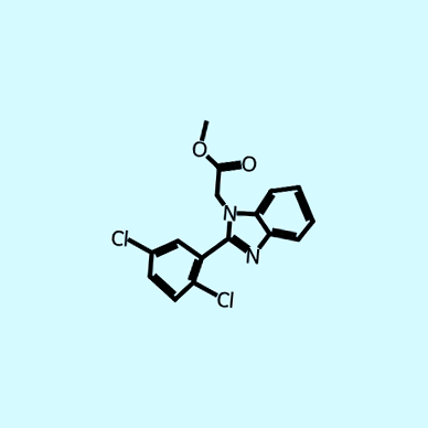 COC(=O)Cn1c(-c2cc(Cl)ccc2Cl)nc2ccccc21